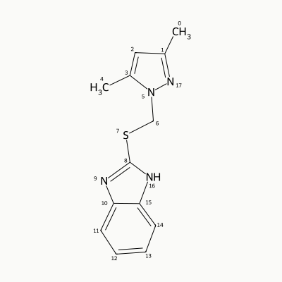 Cc1cc(C)n(CSc2nc3ccccc3[nH]2)n1